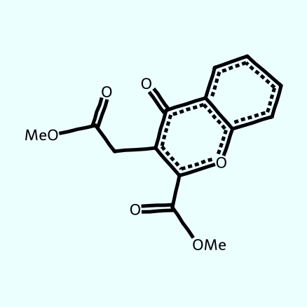 COC(=O)Cc1c(C(=O)OC)oc2ccccc2c1=O